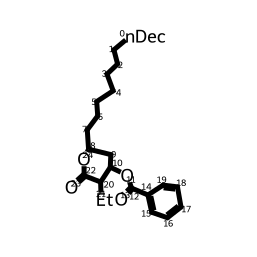 CCCCCCCCCCCCCCCCCC1CC(OC(=O)c2ccccc2)C(CC)C(=O)O1